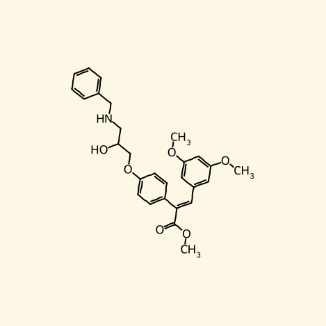 COC(=O)/C(=C/c1cc(OC)cc(OC)c1)c1ccc(OCC(O)CNCc2ccccc2)cc1